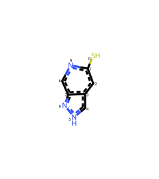 Sc1cc2c[nH]nc2cn1